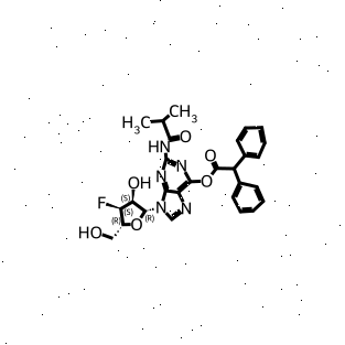 CC(C)C(=O)Nc1nc(OC(=O)C(c2ccccc2)c2ccccc2)c2ncn([C@@H]3O[C@H](CO)[C@@H](F)[C@H]3O)c2n1